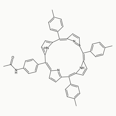 CC(=O)Nc1ccc(-c2c3nc(c(-c4ccc(C)cc4)c4ccc([nH]4)c(-c4ccc(C)cc4)c4nc(c(-c5ccc(C)cc5)c5ccc2[nH]5)C=C4)C=C3)cc1